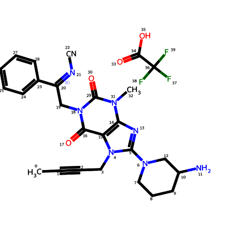 CC#CCn1c(N2CCCC(N)C2)nc2c1c(=O)n(C/C(=N/C#N)c1ccccc1)c(=O)n2C.O=C(O)C(F)(F)F